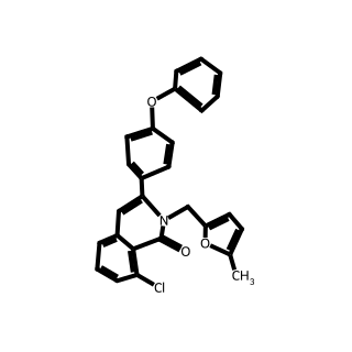 Cc1ccc(Cn2c(-c3ccc(Oc4ccccc4)cc3)cc3cccc(Cl)c3c2=O)o1